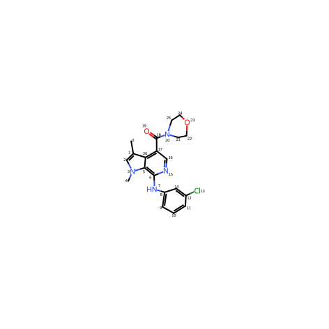 Cc1cn(C)c2c(Nc3cccc(Cl)c3)ncc(C(=O)N3CCOCC3)c12